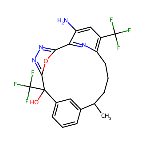 CC1CCCc2nc(c(N)cc2C(F)(F)F)-c2nnc(o2)C(O)(C(F)(F)F)c2cccc1c2